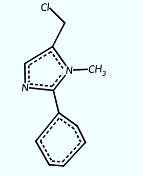 Cn1c(CCl)cnc1-c1ccccc1